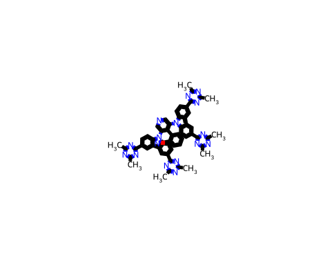 Cc1nc(C)nc(-c2ccc3c(c2)c2cc(-c4nc(C)nc(C)n4)ccc2n3-c2cncc(-n3c4ccc(-c5nc(C)nc(C)n5)cc4c4cc(-c5nc(C)nc(C)n5)ccc43)c2-c2ccccc2C#N)n1